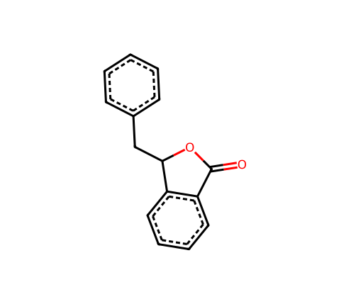 O=C1OC(Cc2ccccc2)c2ccccc21